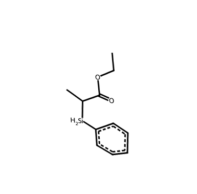 CCOC(=O)C(C)[SiH2]c1ccccc1